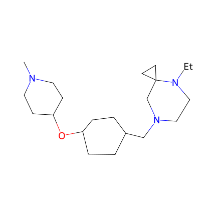 CCN1CCN(CC2CCC(OC3CCN(C)CC3)CC2)CC12CC2